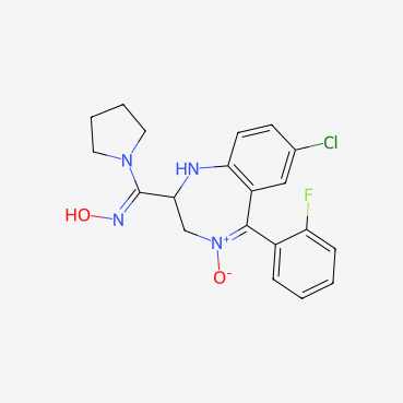 [O-][N+]1=C(c2ccccc2F)c2cc(Cl)ccc2NC(/C(=N/O)N2CCCC2)C1